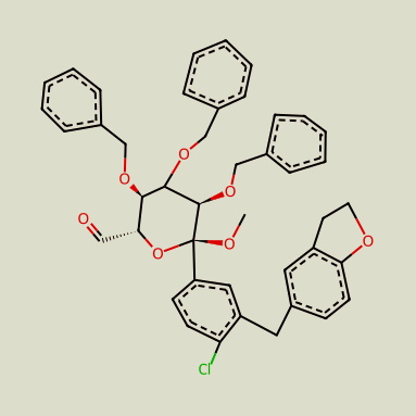 CO[C@@]1(c2ccc(Cl)c(Cc3ccc4c(c3)CCO4)c2)O[C@H](C=O)[C@@H](OCc2ccccc2)C(OCc2ccccc2)[C@H]1OCc1ccccc1